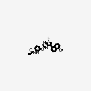 C=CC(=O)Nc1cccc(Oc2cnc3[nH]cc(-c4cccc5c(OC)cccc45)c3n2)c1